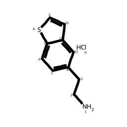 Cl.NCCc1ccc2sccc2c1